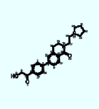 O=C(CO)c1ccc(-c2ccc3c(c2)CCN(CCN2CCCC2)C3=O)cc1